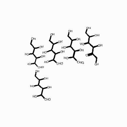 O=C(CO)C(O)C(O)C(O)CO.O=CC(O)C(O)C(O)C(O)CO.O=CC(O)C(O)C(O)C(O)CO.O=CC(O)C(O)C(O)C(O)CO.O=CC(O)C(O)C(O)C(O)CO